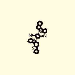 N#Cc1cc(-n2c3ccccc3c3c4sc5ccccc5c4ccc32)c(C#N)cc1-n1c2ccccc2c2c3ccccc3ccc21